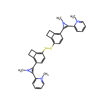 CN1C(c2ccc(SSc3ccc(C4=C(c5cccc[n+]5C)N4C)c4c3CC4)c3c2CC3)=C1c1cccc[n+]1C